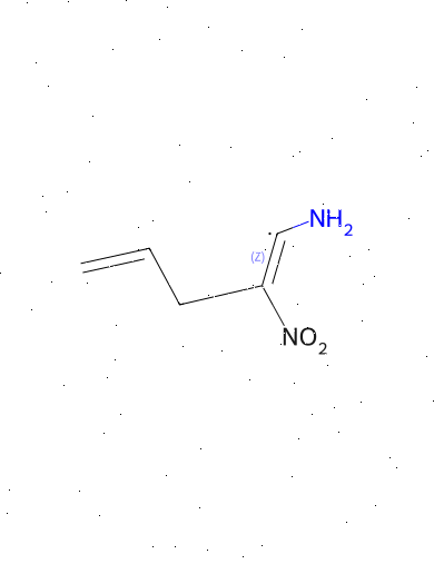 C=CC/C(=[C]/N)[N+](=O)[O-]